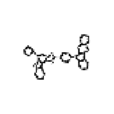 c1ccc(-c2cc3nc(-c4ccc(-n5c6ccccc6c6cc7ccccc7cc65)cc4)sc3c3c2oc2ccccc23)cc1